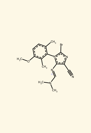 COc1ccc(C)c(-n2c(Br)nc(C#N)c2/N=C/N(C)C)c1C